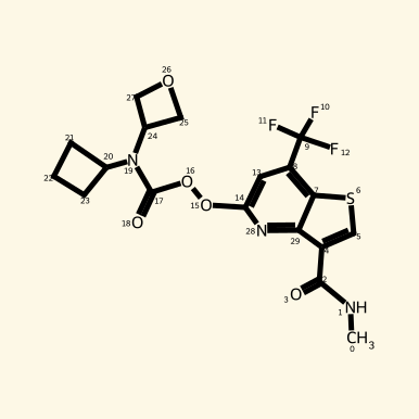 CNC(=O)c1csc2c(C(F)(F)F)cc(OOC(=O)N(C3CCC3)C3COC3)nc12